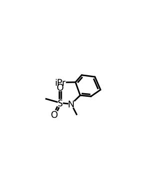 CC(C)c1ccccc1N(C)S(C)(=O)=O